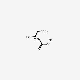 CNC(=S)[S-].NCCO.[Na+]